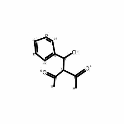 CC(=O)C(C(C)=O)C(Cl)c1ccccc1